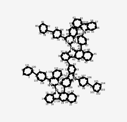 c1ccc(-c2ccc(-c3nc(-n4c5ccccc5c5cc6ccccc6c(-c6ccc7c8cc(-c9cccc%10c9c9cc%11ccccc%11c(-c%11ccc(-n%12c%13ccccc%13c%13ccccc%13%12)cc%11)c9n%10-c9nc(-c%10ccc(-c%11ccccc%11)cc%10)c%10ccccc%10n9)ccc8n(-c8ccc(-c9ccccc9)cc8)c7c6)c54)nc4ccccc34)cc2)cc1